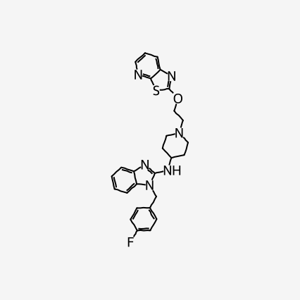 Fc1ccc(Cn2c(NC3CCN(CCOc4nc5cccnc5s4)CC3)nc3ccccc32)cc1